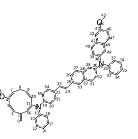 C=C1/C=C\C(OC)=C/C/C=C\C(N(c2ccccc2)c2ccc(/C=C/c3ccc4cc(N(c5ccccc5)c5ccc6cc(OC)ccc6c5)ccc4c3)cc2)=C/1